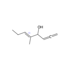 C=C=CC(O)/C(C)=C/CC